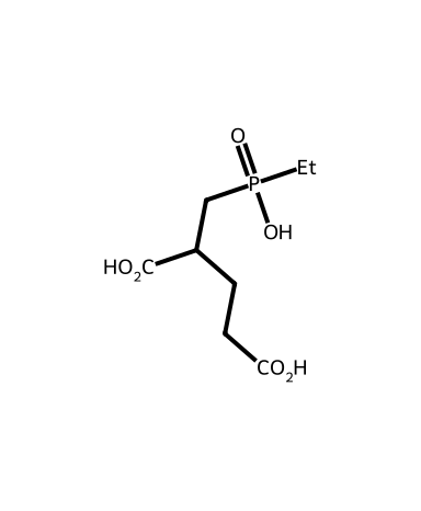 CCP(=O)(O)CC(CCC(=O)O)C(=O)O